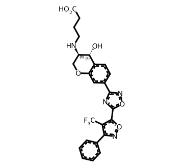 O=C(O)CCCN[C@@H]1COc2cc(-c3noc(-c4onc(-c5ccccc5)c4C(F)(F)F)n3)ccc2[C@H]1O